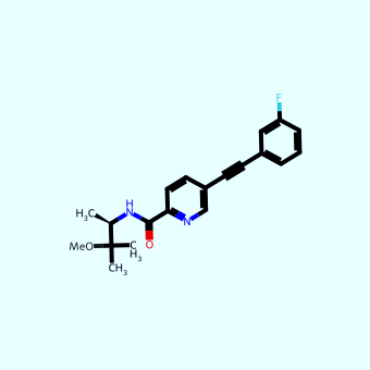 COC(C)(C)[C@@H](C)NC(=O)c1ccc(C#Cc2cccc(F)c2)cn1